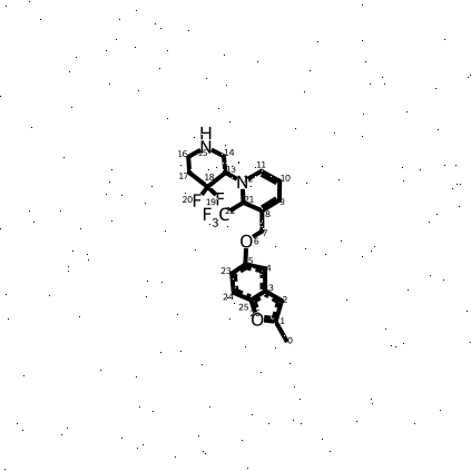 Cc1cc2cc(OCC3=CC=CN(C4CNCCC4(F)F)C3C(F)(F)F)ccc2o1